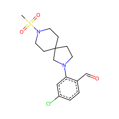 CS(=O)(=O)N1CCC2(CCN(c3cc(Cl)ccc3C=O)C2)CC1